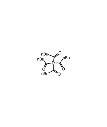 CCCC[C](=O)[Zr]([C](=O)CCCC)([C](=O)CCCC)[C](=O)CCCC